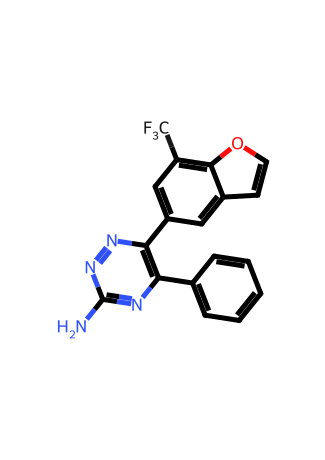 Nc1nnc(-c2cc(C(F)(F)F)c3occc3c2)c(-c2ccccc2)n1